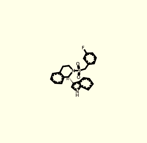 O=S(=O)(Cc1cccc(F)c1)N1CCc2ccccc2[C@H]1c1c[nH]c2ccccc12